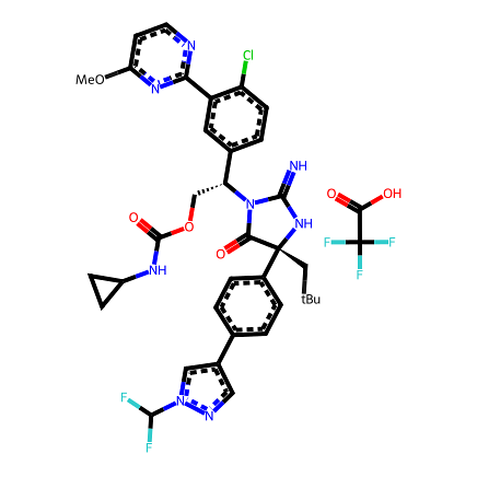 COc1ccnc(-c2cc([C@@H](COC(=O)NC3CC3)N3C(=N)N[C@](CC(C)(C)C)(c4ccc(-c5cnn(C(F)F)c5)cc4)C3=O)ccc2Cl)n1.O=C(O)C(F)(F)F